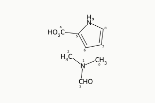 CN(C)C=O.O=C(O)c1ccc[nH]1